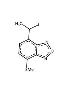 CSc1ccc(C(C)I)c2nonc12